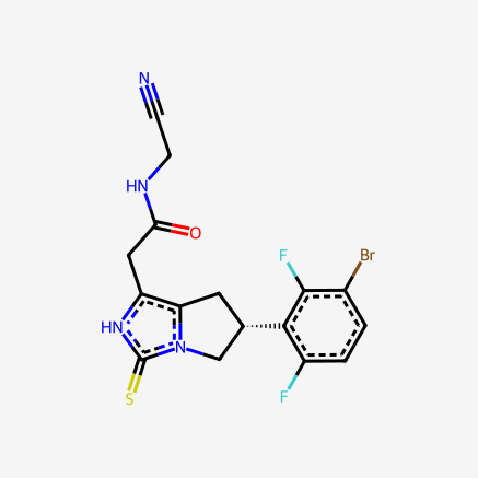 N#CCNC(=O)Cc1[nH]c(=S)n2c1C[C@H](c1c(F)ccc(Br)c1F)C2